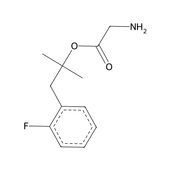 CC(C)(Cc1ccccc1F)OC(=O)CN